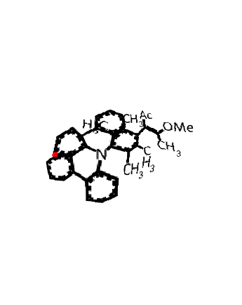 CO/C(C)=C(\C(C)=O)c1c(C)c(C)c(N(c2ccccc2-c2ccccc2)c2ccccc2-c2ccccc2)c(C)c1C